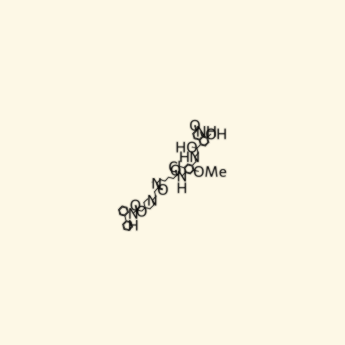 COc1cc(NC(=O)CCCCN(C)C(=O)CCN2CCC(OC(=O)Nc3ccccc3-c3ccccc3)CC2)c(Cl)cc1CNC[C@@H](O)c1ccc(O)c2[nH]c(=O)ccc12